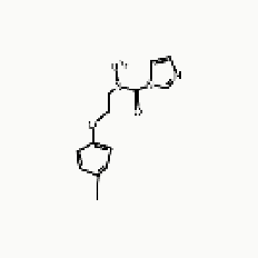 CCCN(CCOc1ccc(I)cc1)C(=O)n1ccnc1